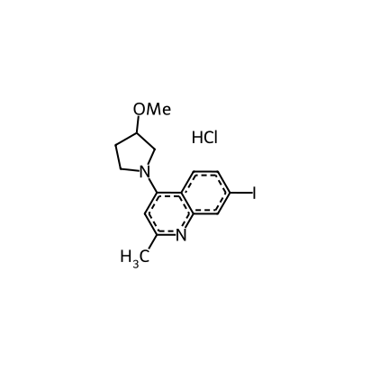 COC1CCN(c2cc(C)nc3cc(I)ccc23)C1.Cl